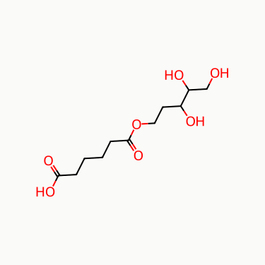 O=C(O)CCCCC(=O)OCCC(O)C(O)CO